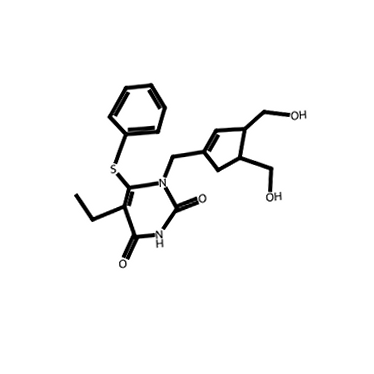 CCc1c(Sc2ccccc2)n(CC2=CC(CO)C(CO)C2)c(=O)[nH]c1=O